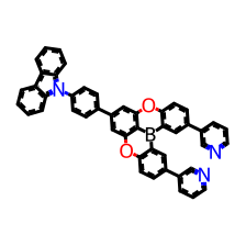 c1cncc(-c2ccc3c(c2)B2c4cc(-c5cccnc5)ccc4Oc4cc(-c5ccc(-n6c7ccccc7c7ccccc76)cc5)cc(c42)O3)c1